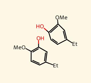 CCc1ccc(O)c(OC)c1.CCc1ccc(OC)c(O)c1